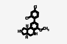 COc1cc(-c2ccc(Cl)cc2Cl)cc2c1NC[C@H]1CNC[C@@H]21